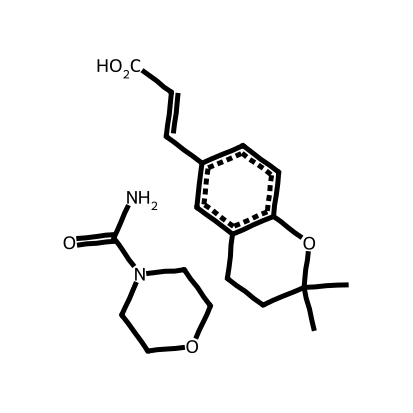 CC1(C)CCc2cc(/C=C/C(=O)O)ccc2O1.NC(=O)N1CCOCC1